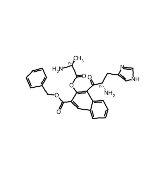 C[C@H](N)C(=O)Oc1c(C(=O)OCc2ccccc2)cc2ccccc2c1C(=O)[C@@H](N)Cc1c[nH]cn1